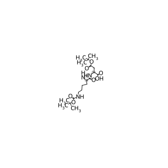 CC(C)(C)OC(=O)C[C@H](NC(=O)[C@@H](N)CCCCNC(=O)OC(C)(C)C)C(=O)O